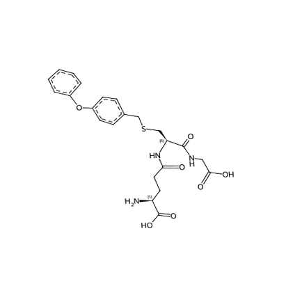 N[C@@H](CCC(=O)N[C@@H](CSCc1ccc(Oc2ccccc2)cc1)C(=O)NCC(=O)O)C(=O)O